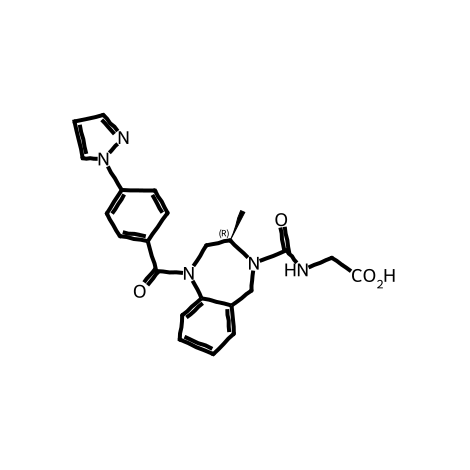 C[C@@H]1CN(C(=O)c2ccc(-n3cccn3)cc2)c2ccccc2CN1C(=O)NCC(=O)O